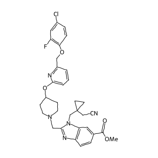 COC(=O)c1ccc2nc(CN3CCC(Oc4cccc(COc5ccc(Cl)cc5F)n4)CC3)n(CC3(CC#N)CC3)c2c1